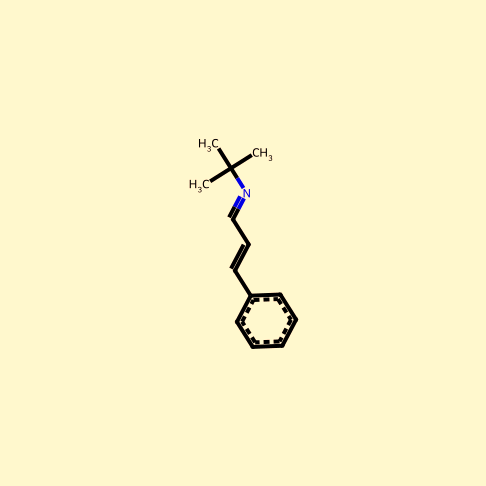 CC(C)(C)N=CC=Cc1ccccc1